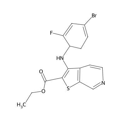 CCOC(=O)c1sc2cnccc2c1NC1CC=C(Br)C=C1F